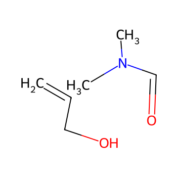 C=CCO.CN(C)C=O